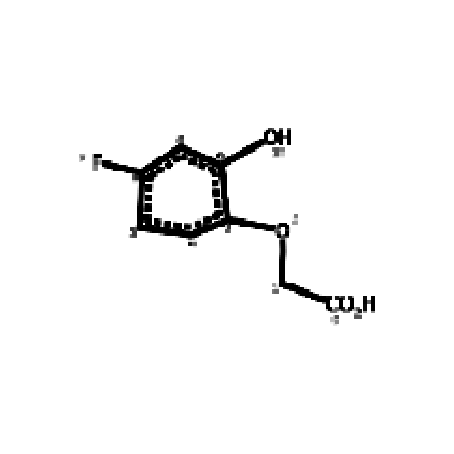 O=C(O)COc1ccc(F)cc1O